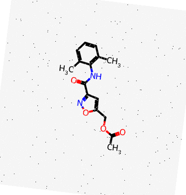 CC(=O)OCc1cc(C(=O)Nc2c(C)cccc2C)no1